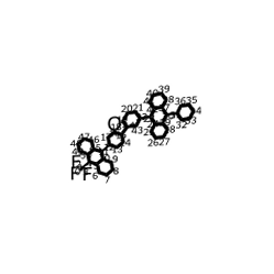 FC(F)(F)c1c2ccccc2c(-c2ccc3c(c2)oc2ccc(-c4c5ccccc5c(-c5ccccc5)c5ccccc45)cc23)c2ccccc12